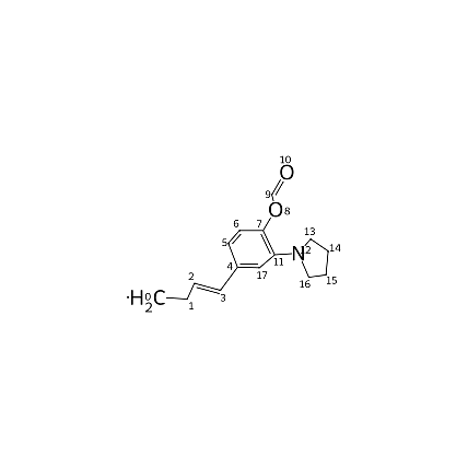 [CH2]CC=Cc1ccc(OC=O)c(N2CCCC2)c1